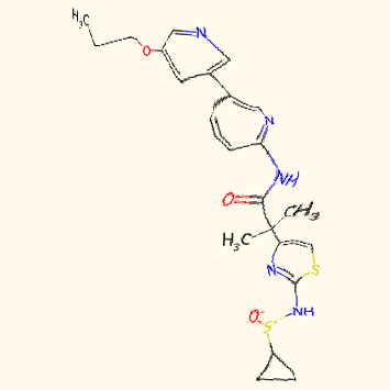 CCCOc1cncc(-c2ccc(NC(=O)C(C)(C)c3csc(N[S+]([O-])C4CC4)n3)nc2)c1